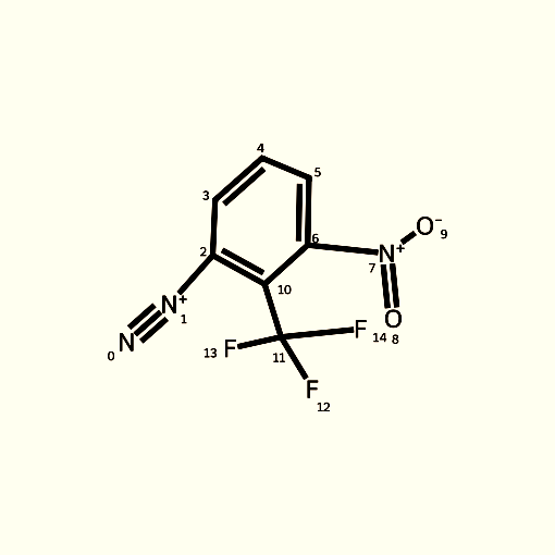 N#[N+]c1cccc([N+](=O)[O-])c1C(F)(F)F